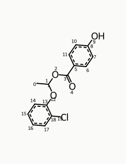 C[C](OC(=O)c1ccc(O)cc1)Oc1ccccc1Cl